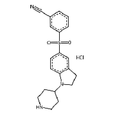 Cl.N#Cc1cccc(S(=O)(=O)c2ccc3c(c2)CCN3C2CCNCC2)c1